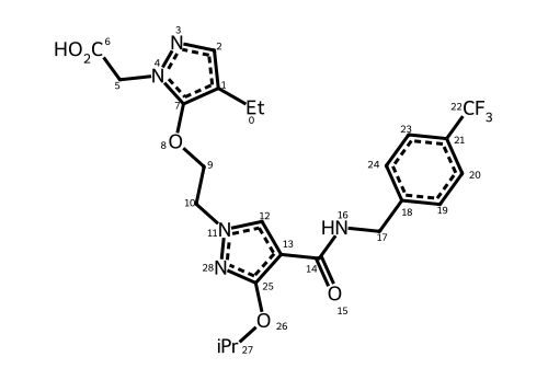 CCc1cnn(CC(=O)O)c1OCCn1cc(C(=O)NCc2ccc(C(F)(F)F)cc2)c(OC(C)C)n1